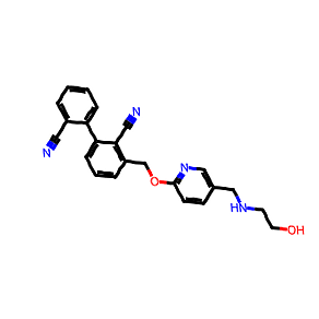 N#Cc1ccccc1-c1cccc(COc2ccc(CNCCO)cn2)c1C#N